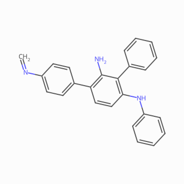 C=Nc1ccc(-c2ccc(Nc3ccccc3)c(-c3ccccc3)c2N)cc1